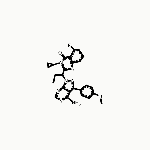 CCC(c1nc2cccc(F)c2c(=O)n1C1CC1)n1nc(-c2ccc(OC)cc2)c2c(N)ncnc21